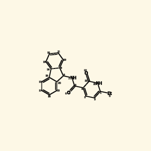 CCc1ccc(C(=O)NC2c3ccccc3-c3ccccc32)c(=O)[nH]1